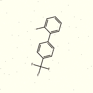 [CH2]c1ccccc1-c1ccc(C(F)(F)F)cc1